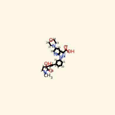 CN1CCC(O)(C#Cc2cccc(-n3nc(C(=O)O)c4cc(N5CCOCC5)cnc43)c2)C1=O